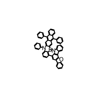 c1ccc(-c2c3ccccc3c(-c3ccccc3)c3cc4c(cc23)B2c3c(cccc3N4c3ccccc3)-c3cc4c5ccccc5oc4c4c5ccccc5n2c34)cc1